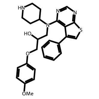 COc1ccc(OCC(O)CN(c2ncnc3scc(-c4ccccc4)c23)C2CCNCC2)cc1